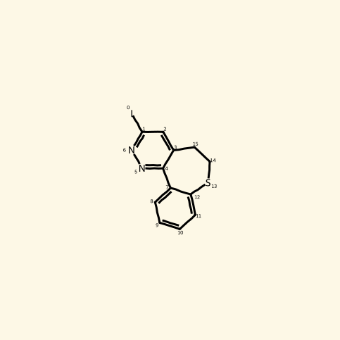 Ic1cc2c(nn1)-c1ccccc1SCC2